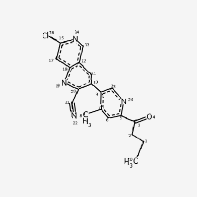 CCCC(=O)c1cc(C)c(-c2cc3cnc(Cl)cc3nc2C#N)cn1